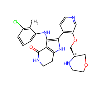 Cc1c(Cl)cccc1Nc1c(-c2ccncc2OC[C@H]2COCCN2)[nH]c2c1C(=O)NCC2